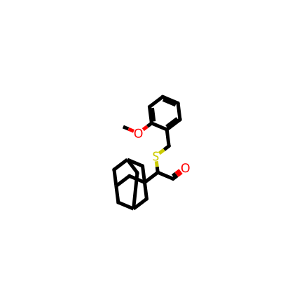 COc1ccccc1CSC(C=O)C12CC3CC(CC(C3)C1)C2